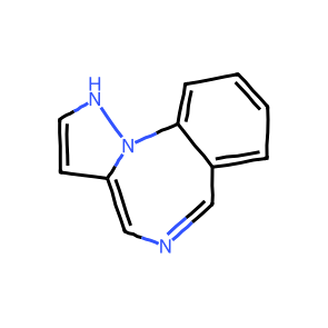 C1=CC2=CN=Cc3ccccc3N2N1